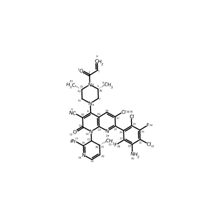 C=CC(=O)N1[C@H](C)CN(c2c(C#N)c(=O)n(C3C(C(C)C)=NC=C[C@H]3C)c3nc(-c4c(F)c(N)c(Cl)c(F)c4Cl)c(Cl)cc23)C[C@@H]1C